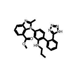 CCCNc1cc(-n2c(C)nc3cccc(C(=O)OC)c32)ccc1-c1ccccc1-c1nnn[nH]1